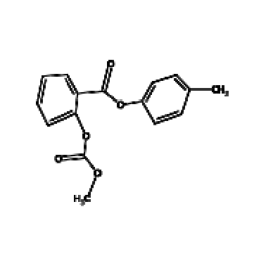 COC(=O)Oc1ccccc1C(=O)Oc1ccc(C)cc1